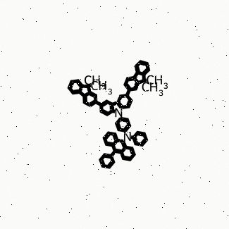 CC1(C)c2ccccc2-c2ccc(-c3ccc4c(c3)c3c(n4-c4ccc(N(c5ccccc5)c5c6ccccc6c(-c6ccccc6)c6ccccc56)cc4)C=CC(c4ccc5c(c4)C(C)(C)c4ccccc4-5)C3)cc21